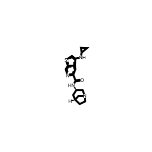 O=C(N[C@@H]1C[C@H]2CCN(C2)C1)c1cc2c(NC3CC3)csc2cn1